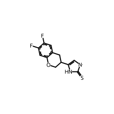 Fc1cc2c(cc1F)OCC(C1=C[N]C(=S)N1)C2